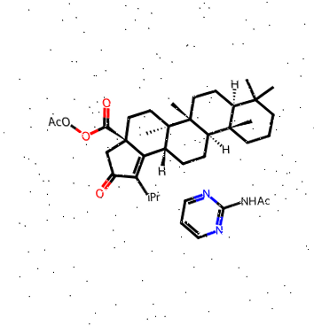 CC(=O)Nc1ncccn1.CC(=O)OOC(=O)[C@@]12CC[C@]3(C)[C@H](CC[C@@H]4[C@@]5(C)CCCC(C)(C)[C@@H]5CC[C@]43C)C1=C(C(C)C)C(=O)C2